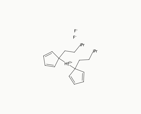 CC(C)CC[C]1([Hf+2][C]2(CCC(C)C)C=CC=C2)C=CC=C1.[F-].[F-]